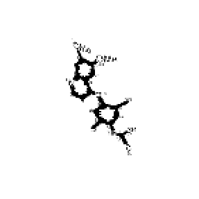 COc1cc2nccc(Oc3cc(C)c(NC(=O)S)cc3C)c2cc1OC